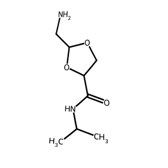 CC(C)NC(=O)C1COC(CN)O1